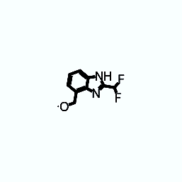 [O]Cc1cccc2[nH]c(C(F)F)nc12